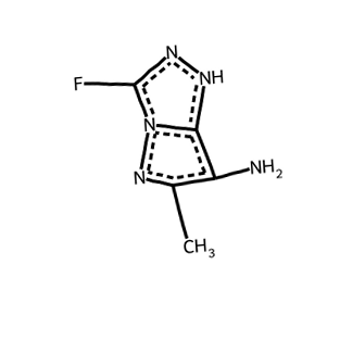 Cc1nn2c(F)n[nH]c2c1N